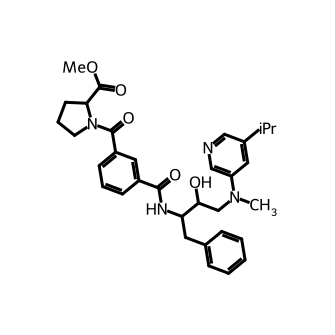 COC(=O)C1CCCN1C(=O)c1cccc(C(=O)NC(Cc2ccccc2)C(O)CN(C)c2cncc(C(C)C)c2)c1